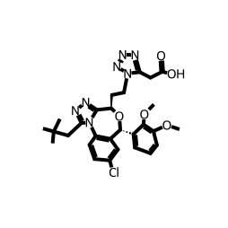 COc1cccc([C@H]2O[C@H](CCn3nnnc3CC(=O)O)c3nnc(CC(C)(C)C)n3-c3ccc(Cl)cc32)c1OC